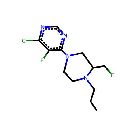 CCCN1CCN(c2ncnc(Cl)c2F)CC1CF